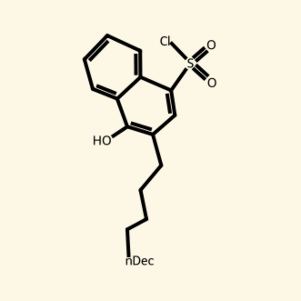 CCCCCCCCCCCCCCc1cc(S(=O)(=O)Cl)c2ccccc2c1O